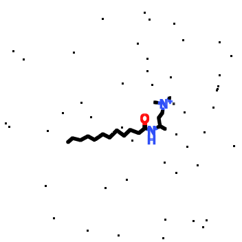 CCCCCCCCCCCC(=O)NC(C)CC[N+](C)C